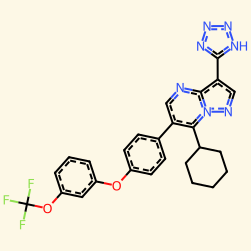 FC(F)(F)Oc1cccc(Oc2ccc(-c3cnc4c(-c5nnn[nH]5)cnn4c3C3CCCCC3)cc2)c1